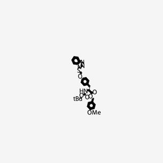 COc1ccc(COC(=O)[C@@H](Cc2ccc(OCSn3nnc4ccccc43)cc2)NC(=O)OC(C)(C)C)cc1